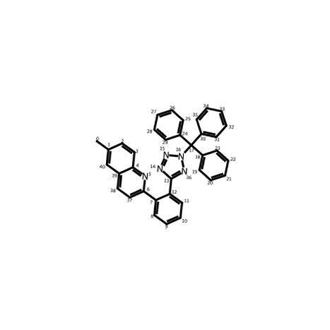 Cc1ccc2nc(-c3ccccc3-c3nnn(C(c4ccccc4)(c4ccccc4)c4ccccc4)n3)ccc2c1